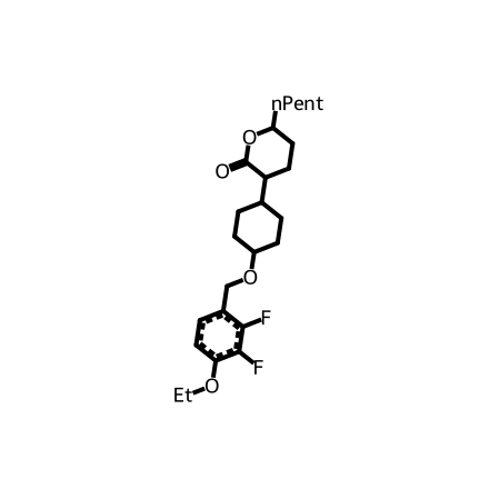 CCCCCC1CCC(C2CCC(OCc3ccc(OCC)c(F)c3F)CC2)C(=O)O1